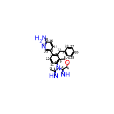 CC(=N)N1C(=N)COCc2c1ccc(-c1ccc(N)nc1)c2Cc1ccccc1